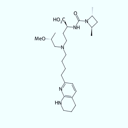 CO[C@H](C)CN(CCCCc1ccc2c(n1)NCCC2)CC[C@H](NC(=O)N1[C@H](C)C[C@H]1C)C(=O)O